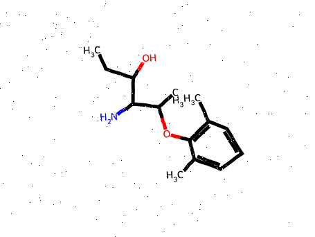 CCC(O)C(N)C(C)Oc1c(C)cccc1C